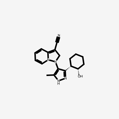 Cc1[nH]nc([C@@H]2CCCC[C@@H]2O)c1N1CC(C#N)=C2C=CC=CN21